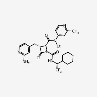 CCN(C(=O)[C@@H]1[C@@H](Cc2ccnc(N)c2)C(=O)N1C(=O)N[C@@H](C1CCCCC1)C(F)(F)F)c1ccnc(C)c1